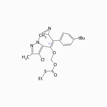 CCSC(=O)OCO/C(=C(\c1ccc(C(C)(C)C)cc1)C1C=N1)c1c(Cl)c(C)nn1C